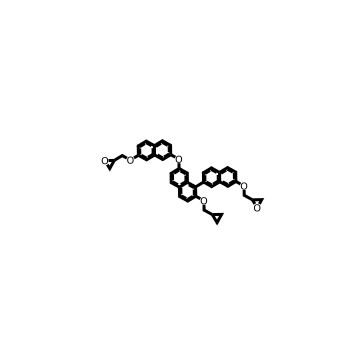 c1cc2ccc(Oc3ccc4ccc(OCC5CC5)c(-c5ccc6ccc(OCC7CO7)cc6c5)c4c3)cc2cc1OCC1CO1